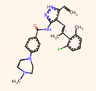 C=Cc1[nH]nc(NC(=O)c2ccc(N3CCN(C)CC3)cc2)c1/C=C(\C)c1c(C)cccc1F